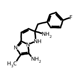 Cc1nc2n(c1N)NC(N)(Cc1ccc(F)cc1)C=C2